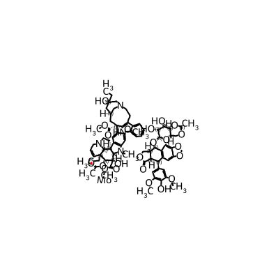 CC[C@]1(O)C[C@H]2CN(CCc3c([nH]c4ccccc34)[C@@](C(=O)OC)(c3cc4c(cc3OC)N(C)[C@H]3[C@@](O)(C(=O)OC)[C@H](OC(C)=O)[C@]5(CC)C=CCN6CC[C@]43[C@@H]65)C2)C1.COc1cc([C@@H]2c3cc4c(cc3[C@@H](O[C@@H]3O[C@@H]5CO[C@@H](C)O[C@H]5[C@H](O)[C@H]3O)[C@H]3COC(=O)[C@H]23)OCO4)cc(OC)c1O.[Mo]